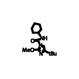 COc1nc(C(C)(C)C)cn1C(=O)NC1CCCCC1